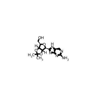 CC1(C)O[C@@H]2[C@H](O1)[C@@H](CO)O[C@H]2c1nc2nc(N)ncc2[nH]1